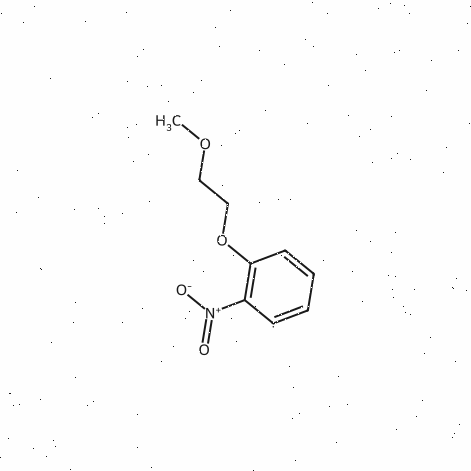 COCCOc1ccc[c]c1[N+](=O)[O-]